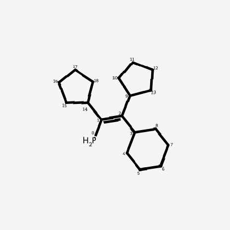 PC(=C(C1CCCCC1)C1CCCC1)C1CCCC1